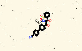 CN1C(C(=O)c2ccc(-c3ccc(C#N)cc3)cc2)=C([O-])c2ccccc2S1(=O)=O.[K+]